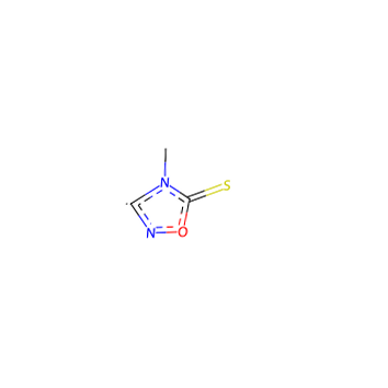 Cn1[c]noc1=S